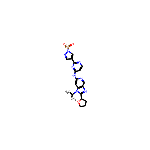 CC(C)n1c(C2CCCO2)nc2cnc(Nc3ccnc(-c4cnn([SH](=O)=O)c4)n3)cc21